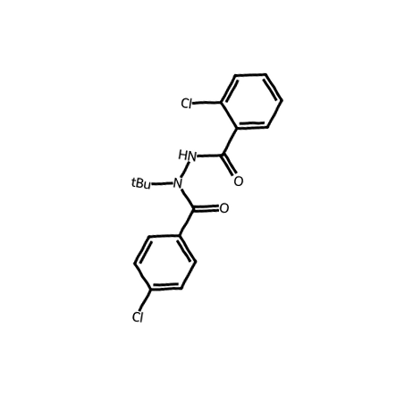 CC(C)(C)N(NC(=O)c1ccccc1Cl)C(=O)c1ccc(Cl)cc1